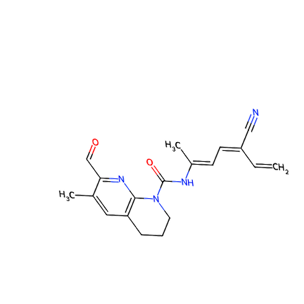 C=C/C(C#N)=C\C=C(/C)NC(=O)N1CCCc2cc(C)c(C=O)nc21